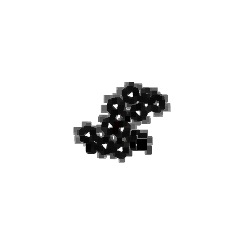 CC1(C)c2ccccc2-c2ccc(N(c3ccc4c(c3)C(C)(c3ccccc3)c3ccccc3-4)c3ccccc3-c3ccc(-c4cccc5oc6ccccc6c45)cc3)cc21